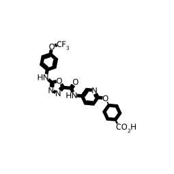 O=C(Nc1ccc(O[C@H]2CC[C@H](C(=O)O)CC2)nc1)c1nnc(Nc2ccc(OC(F)(F)F)cc2)o1